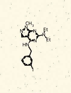 CCN(CC)c1nc(NCc2cccc(I)c2)c2cnn(C)c2n1